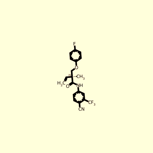 C=C[C@@](C)(COc1ccc(F)cc1)C(=O)Nc1ccc(C#N)c(C(F)(F)F)c1